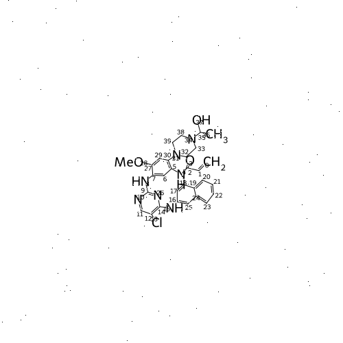 C=CC(=O)Nc1cc(Nc2ncc(Cl)c(Nc3ccc4ccccc4c3)n2)c(OC)cc1N1CCN(C(C)O)CC1